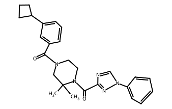 CC1(C)CN(C(=O)c2cccc(C3CCC3)c2)CCN1C(=O)c1ncn(-c2ccccc2)n1